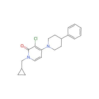 O=c1c(Cl)c(N2CCC(c3ccccc3)CC2)ccn1CC1CC1